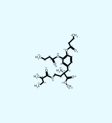 CCCC(=O)Oc1ccc(C[C@](N)(CCOC(=O)C(C)CC)C(=O)OC)cc1OC(=O)CCC